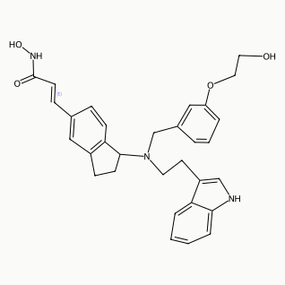 O=C(/C=C/c1ccc2c(c1)CCC2N(CCc1c[nH]c2ccccc12)Cc1cccc(OCCO)c1)NO